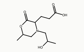 CC(O)CN1CC(C)OC(=O)C1CCC(=O)O